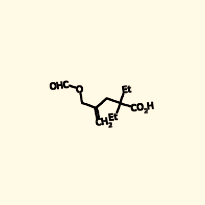 C=C(COC=O)CC(CC)(CC)C(=O)O